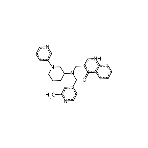 Cc1cc(CN(Cc2c[nH]c3ccccc3c2=O)C2CCCN(c3cccnc3)C2)ccn1